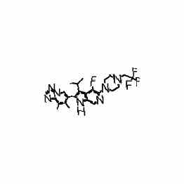 Cc1c(-c2[nH]c3cnc(N4CCN(CC(F)(F)F)CC4)c(F)c3c2C(C)C)cn2ncnc2c1C